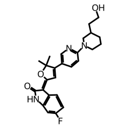 CC1(C)OC(=C2C(=O)Nc3cc(F)ccc32)C=C1c1ccc(N2CCCC(CCO)C2)nc1